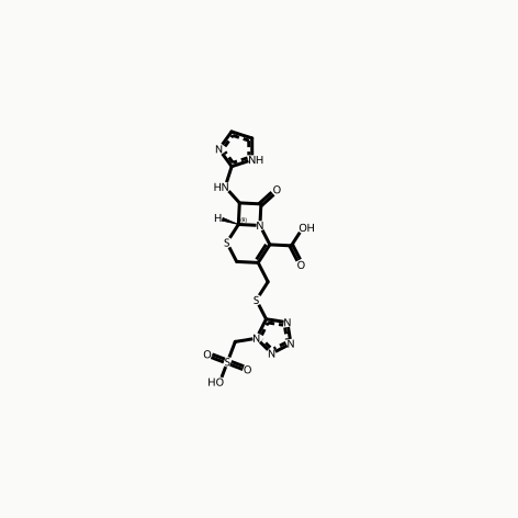 O=C(O)C1=C(CSc2nnnn2CS(=O)(=O)O)CS[C@@H]2C(Nc3ncc[nH]3)C(=O)N12